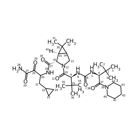 CC(C)(C)[C@H](NC(=O)N[C@H](C(=O)N1CC2[C@@H]([C@H]1C(=O)NC(CC1CC1)C(=O)C(N)=O)C2(C)C)C(C)(C)C)C(=O)N1CCCCC1